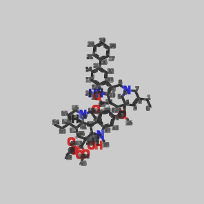 CCC1=C[C@H]2CN(C1)Cc1c([nH]c3ccc(-c4ccccc4)cc13)[C@@](C(=O)OC)(c1cc3c(cc1OC)N(C)[C@H]1[C@@](O)(C(=O)OC)[C@H](OC(C)=O)C4C(CC)=CCN5CC[C@]31[C@H]45)C2